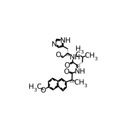 COc1ccc2cc([C@H](C)C(=O)N[C@@H](CC(C)C)C(=O)N[C@H](C=O)Cc3cnc[nH]3)ccc2c1